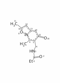 CCC(=O)NCc1c(C)n2oc(C)cc2cc1=O